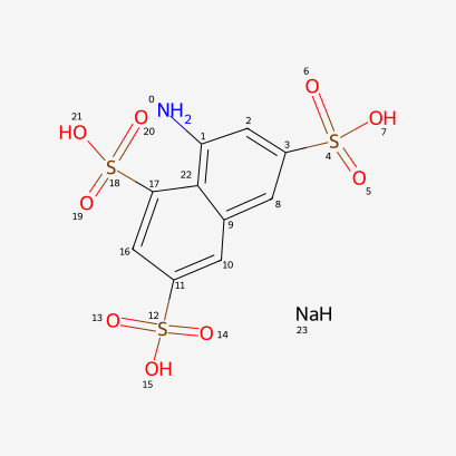 Nc1cc(S(=O)(=O)O)cc2cc(S(=O)(=O)O)cc(S(=O)(=O)O)c12.[NaH]